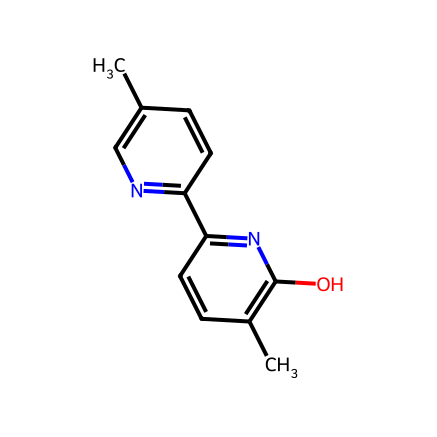 Cc1ccc(-c2ccc(C)c(O)n2)nc1